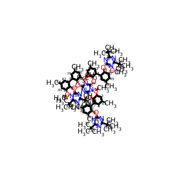 COc1cc(C)cc(-c2cc(C)cc(C)c2Oc2nc(C(C)(C)C)nc(C(C)(C)C)n2)c1Oc1nc(Oc2c(C)cc(C)cc2-c2cc(C)cc(OC)c2Oc2nc(C(C)(C)C)nc(C(C)(C)C)n2)nc(Oc2c(OC)cc(C)cc2-c2cc(C)cc(OC)c2Oc2nc(C(C)(C)C)nc(C(C)(C)C)n2)n1